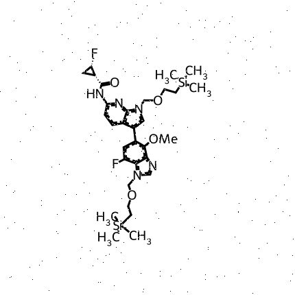 COc1c(-c2cn(COCC[Si](C)(C)C)c3nc(NC(=O)[C@@H]4C[C@@H]4F)ccc23)cc(F)c2c1ncn2COCC[Si](C)(C)C